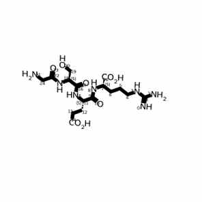 N=C(N)NCCC[C@H](NC(=O)[C@H](CCC(=O)O)NC(=O)[C@H](CO)NC(=O)CN)C(=O)O